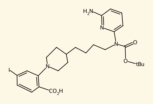 CC(C)(C)OC(=O)N(CCCCC1CCN(c2cc(I)ccc2C(=O)O)CC1)c1cccc(N)n1